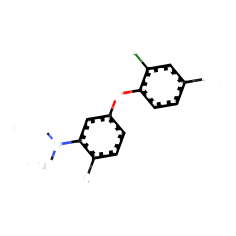 CCOC(=O)N(NC(C)=O)c1cc(Oc2ccc(C(F)(F)F)cc2Cl)ccc1[N+](=O)[O-]